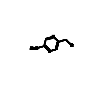 COc1cnc(CBr)cn1